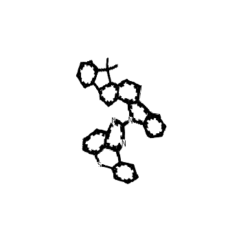 CC1(C)c2ccccc2-c2ccc3c(ccc4c5ccccc5n(-c5nc6c7c(cccc7n5)Sc5ccccc5-6)c34)c21